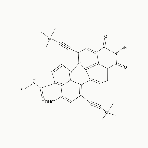 CC(C)NC(=O)c1ccc2c3c(C#C[Si](C)(C)C)cc4c5c(ccc(c6c(C#C[Si](C)(C)C)cc(C=O)c1c26)c53)C(=O)N(C(C)C)C4=O